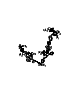 Cc1ncsc1-c1ccc([C@H](C)NC(=O)[C@@H]2C[C@@H](O)CN2C(=O)[C@@H](NC(=O)CCCCCC(=O)N(C)C2CCN(CC[C@H](CSc3ccccc3)Nc3ccc(S(=O)(=O)NC(=O)c4ccc(N5CCN(CC6=C(C78CC(C)(C7)C8)CC(C)(C)CC6)CC5)cc4)cc3S(=O)(=O)C(F)(F)F)CC2)C(C)(C)C)cc1